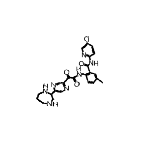 Cc1ccc(NC(=O)C(=O)c2cnc(C3CNCCCN3)cn2)c(C(=O)Nc2ccc(Cl)cn2)c1